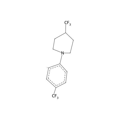 FC(F)(F)c1c[c]c(N2CCC(C(F)(F)F)CC2)cc1